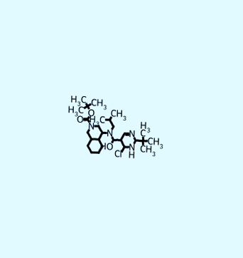 CC(C)CN(C(O)C1C=NC(C(C)(C)C)NC1Cl)C1CN(C(=O)OC(C)(C)C)CC2CCCCC21